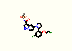 CC(C)(C)S(=O)(=O)NC(=O)c1cnn2ccc(N3CCCC3c3cc(F)ccc3OCCF)cc12